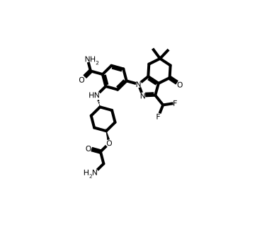 CC1(C)CC(=O)c2c(C(F)F)nn(-c3ccc(C(N)=O)c(N[C@H]4CC[C@H](OC(=O)CN)CC4)c3)c2C1